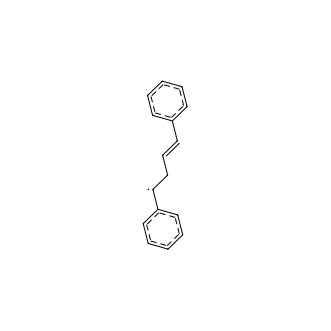 [CH](CC=Cc1ccccc1)c1ccccc1